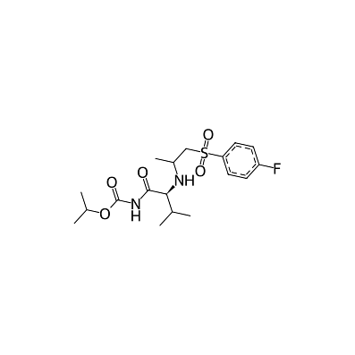 CC(CS(=O)(=O)c1ccc(F)cc1)N[C@H](C(=O)NC(=O)OC(C)C)C(C)C